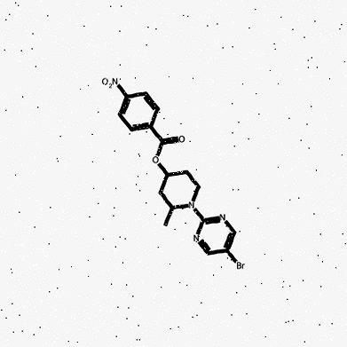 CC1CC(OC(=O)c2ccc([N+](=O)[O-])cc2)CCN1c1ncc(Br)cn1